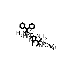 Cc1nn(COCC[Si](C)(C)C)c(C)c1-c1c(N)cc(NC(=O)C(N)C(C2CCCCC2)C2CCCCC2)nc1F